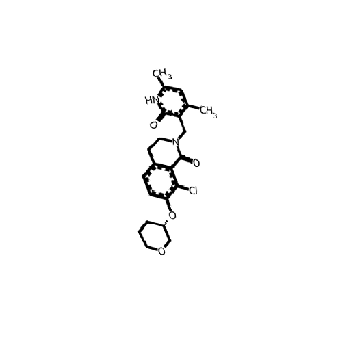 Cc1cc(C)c(CN2CCc3ccc(O[C@H]4CCCOC4)c(Cl)c3C2=O)c(=O)[nH]1